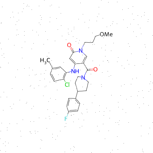 COCCCn1cc(C(=O)N2CCC(c3ccc(F)cc3)CC2)c(Nc2cc(C)ccc2Cl)cc1=O